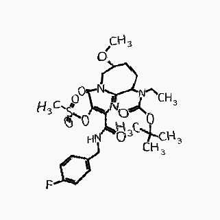 CCN(C(=O)OC(C)(C)C)C1CC[C@H](OC)Cn2c1nc(C(=O)NCc1ccc(F)cc1)c(OS(C)(=O)=O)c2=O